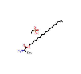 CCCCCCCCCCC(N)C(=O)OCCCCCCCCCCCCCCCC(C)C.CCS(=O)(=O)O